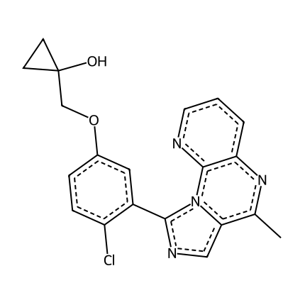 Cc1nc2cccnc2n2c(-c3cc(OCC4(O)CC4)ccc3Cl)ncc12